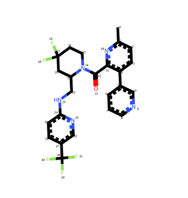 Cc1ccc(-c2cccnc2)c(C(=O)N2CCC(F)(F)CC2CNc2ccc(C(F)(F)F)cn2)n1